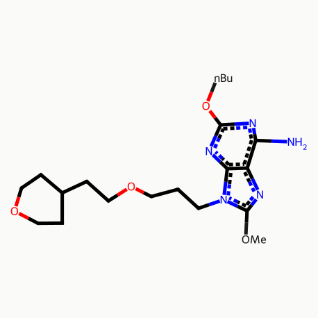 CCCCOc1nc(N)c2nc(OC)n(CCCOCCC3CCOCC3)c2n1